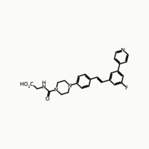 O=C(O)CNC(=O)N1CCN(c2ccc(C=Cc3cc(F)cc(-c4ccncc4)c3)cc2)CC1